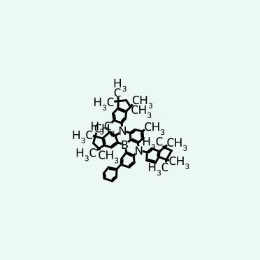 Cc1cc2c3c(c1)N(c1cc4c(cc1C)C(C)(C)CC4(C)C)c1cc4c(cc1B3c1cc(-c3ccccc3)ccc1N2c1ccc2c(c1)C(C)(C)CC2(C)C)C(C)(C)CC4(C)C